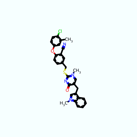 Cc1cc(Oc2ccc(CSc3nc(=O)c(Cc4cn(C)c5ccccc45)cn3C)cc2C#N)ccc1Cl